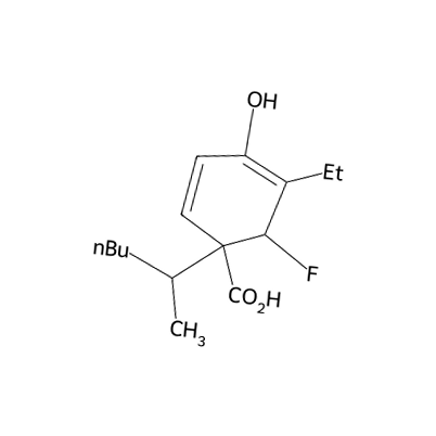 CCCCC(C)C1(C(=O)O)C=CC(O)=C(CC)C1F